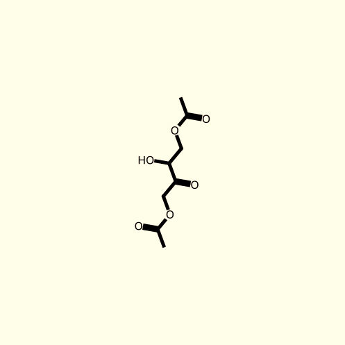 CC(=O)OCC(=O)C(O)COC(C)=O